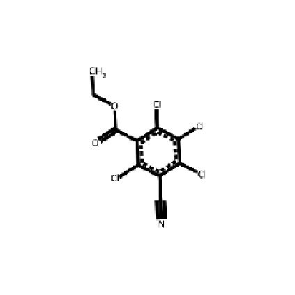 CCOC(=O)c1c(Cl)c(Cl)c(Cl)c(C#N)c1Cl